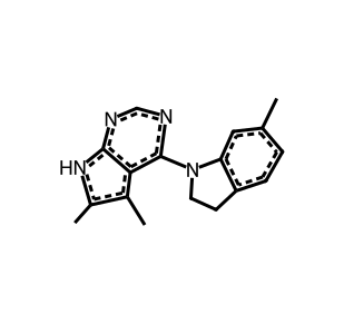 Cc1ccc2c(c1)N(c1ncnc3[nH]c(C)c(C)c13)CC2